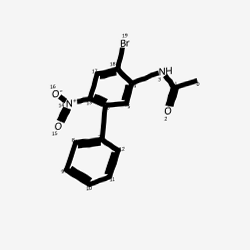 CC(=O)Nc1cc(-c2ccccc2)c([N+](=O)[O-])cc1Br